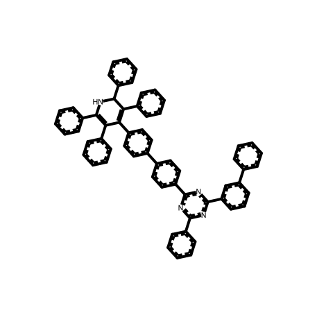 c1ccc(C2=C(c3ccccc3)C(c3ccc(-c4ccc(-c5nc(-c6ccccc6)nc(-c6cccc(-c7ccccc7)c6)n5)cc4)cc3)=C(c3ccccc3)C(c3ccccc3)N2)cc1